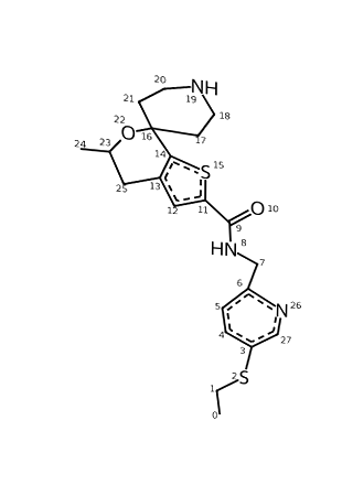 CCSc1ccc(CNC(=O)c2cc3c(s2)C2(CCNCC2)OC(C)C3)nc1